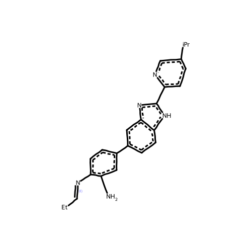 CC/C=N/c1ccc(-c2ccc3[nH]c(-c4ccc(C(C)C)cn4)nc3c2)cc1N